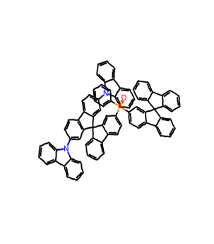 O=P(c1ccccc1)(c1ccc2c(c1)C1(c3ccccc3-c3ccccc31)c1ccccc1-2)c1ccc2c(c1)C1(c3ccccc3-2)c2cc(-n3c4ccccc4c4ccccc43)ccc2-c2ccc(-n3c4ccccc4c4ccccc43)cc21